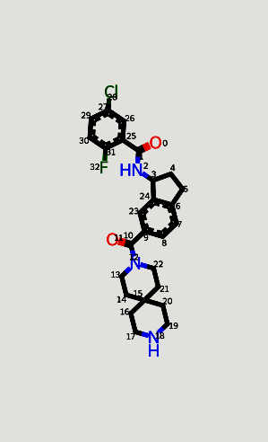 O=C(NC1CCc2ccc(C(=O)N3CCC4(CCNCC4)CC3)cc21)c1cc(Cl)ccc1F